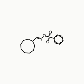 O=S(=O)(O/N=C/C1CCCCCCCC1)c1ccccc1